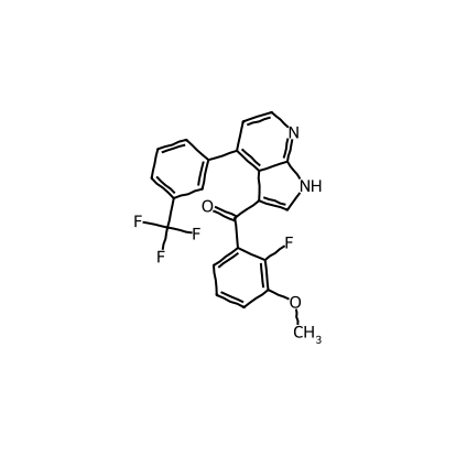 COc1cccc(C(=O)c2c[nH]c3nccc(-c4cccc(C(F)(F)F)c4)c23)c1F